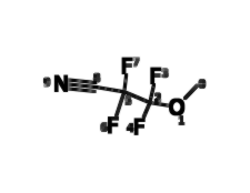 COC(F)(F)C(F)(F)C#N